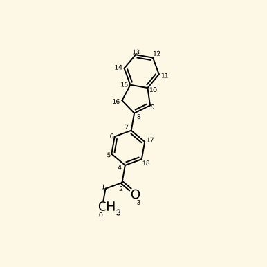 CCC(=O)c1ccc(C2=Cc3ccccc3C2)cc1